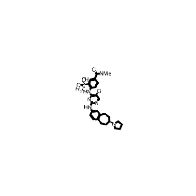 CNC(=O)c1ccc(Nc2nc(Nc3ccc4c(c3)CC[C@@H](N3CCCC3)CC4)ncc2Cl)c(P(C)(C)=O)c1